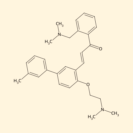 Cc1cccc(-c2ccc(OCCN(C)C)c(C=CC(=O)c3ccccc3CN(C)C)c2)c1